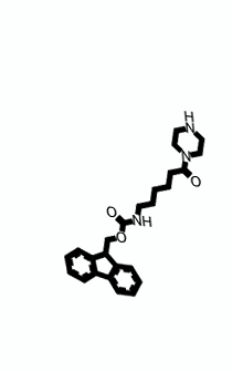 O=C(NCCCCCC(=O)N1CCNCC1)OCC1c2ccccc2-c2ccccc21